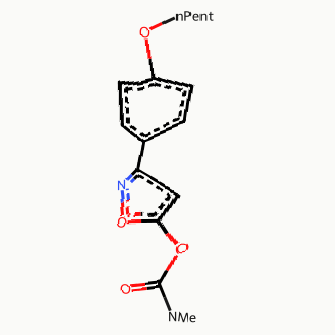 CCCCCOc1ccc(-c2cc(OC(=O)NC)on2)cc1